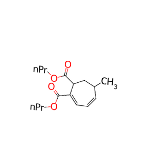 CCCOC(=O)C1=CC=CC(C)CC1C(=O)OCCC